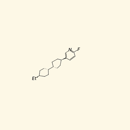 CC[C@H]1CC[C@H]([C@H]2CC[C@H](c3ccc(F)nc3)CC2)CC1